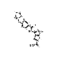 O=C(Nc1n[nH]c2sc(C(=O)O)cc12)c1ccc(CN2CCCC2)cc1